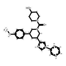 O=C(N1CCC(O)CC1)N1CC(c2ccc(OC(F)(F)F)cc2)CC(c2cn(-c3cnccn3)cn2)C1